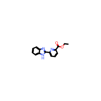 CCOC(=O)c1cccc(-c2nc3ccccc3[nH]2)n1